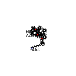 CCCCCCCC/C=C\CCCCCCCC1OC[C@@H](COC(=O)O[C@@H](C(=O)O[C@H]2C[C@]3(O)C(C)C(=C2C)[C@@H](OC(C)=O)C(=O)[C@@]2(C)[C@H]([C@@H]3OC(=O)c3ccccc3)[C@]3(O)CO[C@@H]3C[C@@H]2O)[C@@H](NC(=O)c2ccccc2)c2ccccc2)O1